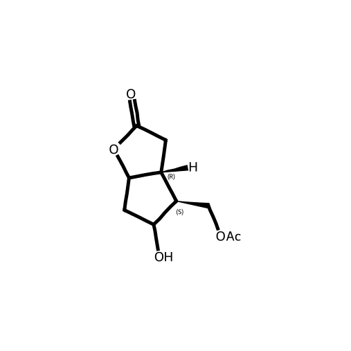 CC(=O)OC[C@H]1C(O)CC2OC(=O)C[C@@H]21